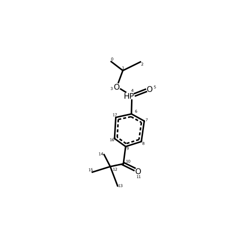 CC(C)O[PH](=O)c1ccc(C(=O)C(C)(C)C)cc1